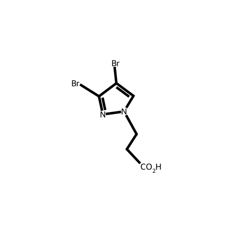 O=C(O)CCn1cc(Br)c(Br)n1